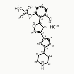 CS(=O)(=O)Oc1cccc(Cl)c1C1CC(c2csc(C3CCNCC3)n2)=NO1.Cl